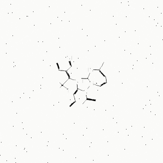 C=C/C=C(/N/C(=C(/C=C)C=N)C(F)(F)F)N(C(=C)C)N1C=CC=C(C)NC1C